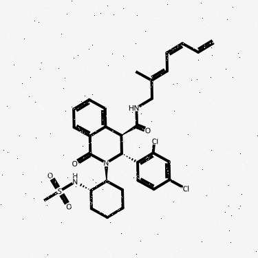 C=C/C=C\C=C(/C)CNC(=O)[C@@H]1c2ccccc2C(=O)N([C@H]2CCCC[C@@H]2NS(C)(=O)=O)[C@H]1c1ccc(Cl)cc1Cl